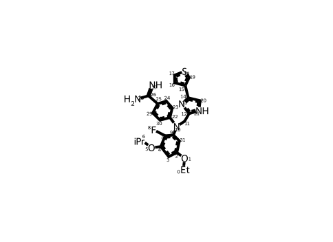 CCOc1cc(OC(C)C)c(F)c(N(Cc2nc(-c3ccsc3)c[nH]2)c2ccc(C(=N)N)cc2)c1